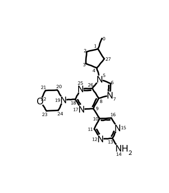 CC1CCC(n2cnc3c(-c4cnc(N)nc4)nc(N4CCOCC4)nc32)C1